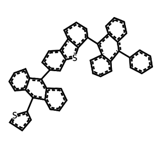 c1ccc(-c2c3ccccc3c(-c3cccc4c3sc3cc(-c5c6ccccc6c(-c6cccs6)c6ccccc56)ccc34)c3ccccc23)cc1